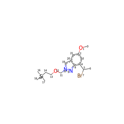 COc1cc(C(C)Br)c2nn(COCC[Si](C)(C)C)cc2c1